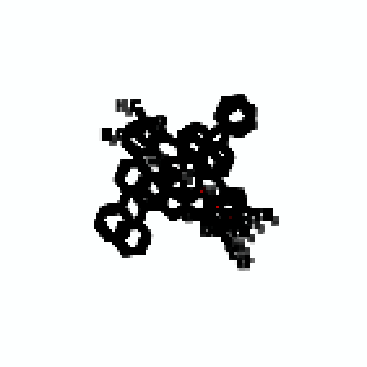 Cc1cc(C2=Cc3c(-c4ccccc4)cccc3[C]23[SiH](c2ccccc2)[C]2(C(c4cc(C)c(C)o4)=Cc4c(-c5ccccc5)cccc42)[Hf+2]32([Cl])([Cl])[C]3(C(c4cc(C)c(C)o4)=Cc4c(-c5ccccc5)cccc43)[SiH](c3ccccc3)[C]23C(c2cc(C)c(C)o2)=Cc2c(-c4ccccc4)cccc23)oc1C.[Cl-].[Cl-]